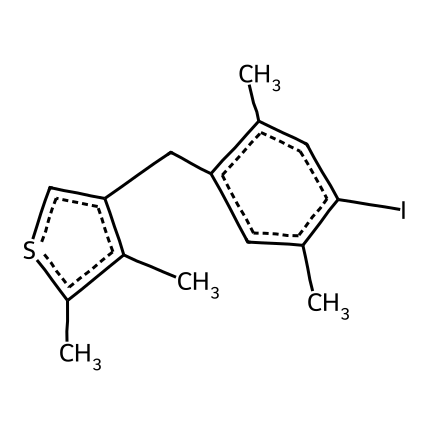 Cc1cc(Cc2csc(C)c2C)c(C)cc1I